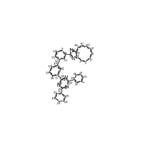 c1ccccn2nc(-c3cccc(-c4cccc(-c5nc(-c6ccccc6)nc(-c6ccccc6)n5)c4)c3)nc2ccc1